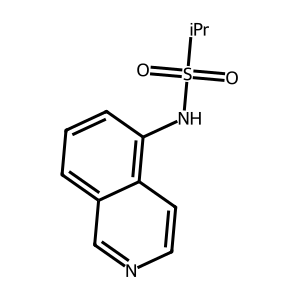 CC(C)S(=O)(=O)Nc1cccc2cnccc12